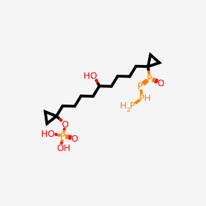 O=P(=PPP)C1(CCCCC(O)CCCCC2(OP(=O)(O)O)CC2)CC1